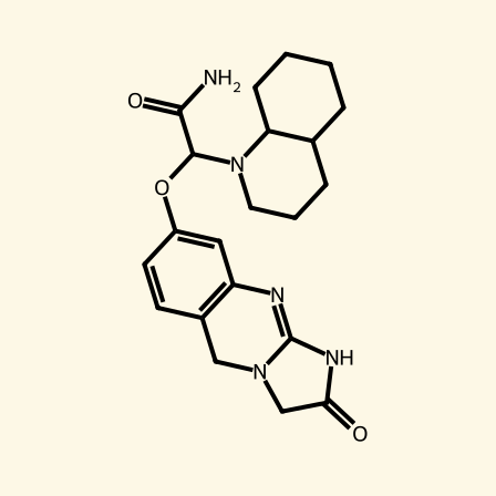 NC(=O)C(Oc1ccc2c(c1)N=C1NC(=O)CN1C2)N1CCCC2CCCCC21